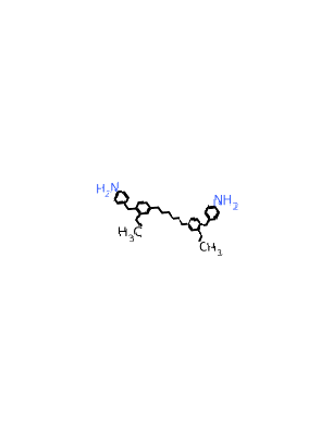 CCCc1cc(CCCCCCc2ccc(Cc3ccc(N)cc3)c(CCC)c2)ccc1Cc1ccc(N)cc1